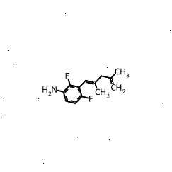 C=C(C)C/C(C)=C/c1c(F)ccc(N)c1F